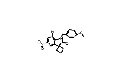 COc1ccc(CN2C(=O)C3(CCC3)c3cc([N+](=O)[O-])cc(Br)c32)cc1